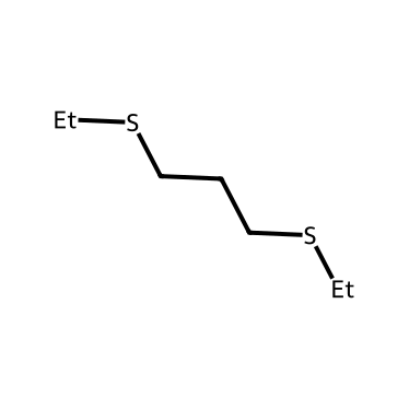 CCSCCCSCC